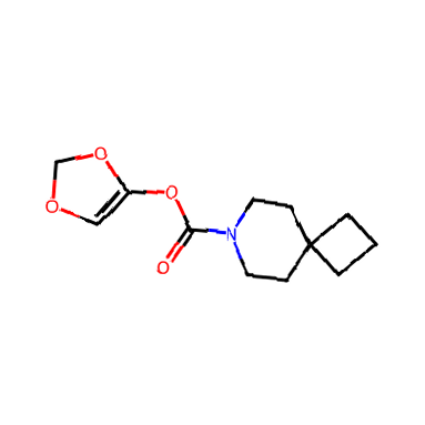 O=C(OC1=COCO1)N1CCC2(CCC2)CC1